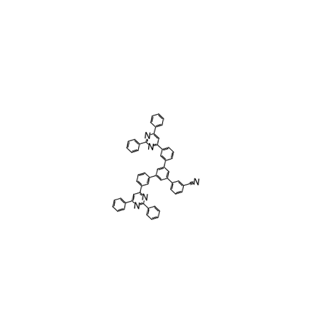 N#Cc1cccc(-c2cc(-c3cccc(-c4cc(-c5ccccc5)nc(-c5ccccc5)n4)c3)cc(-c3cccc(-c4cc(-c5ccccc5)nc(-c5ccccc5)n4)c3)c2)c1